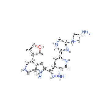 NC1CN(c2cncc(-c3cc4c(-c5cc6c(-c7ccoc7)cncc6[nH]5)n[nH]c4cn3)n2)C1